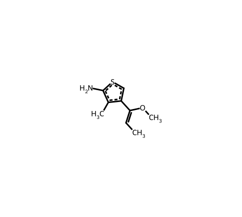 CC=C(OC)c1csc(N)c1C